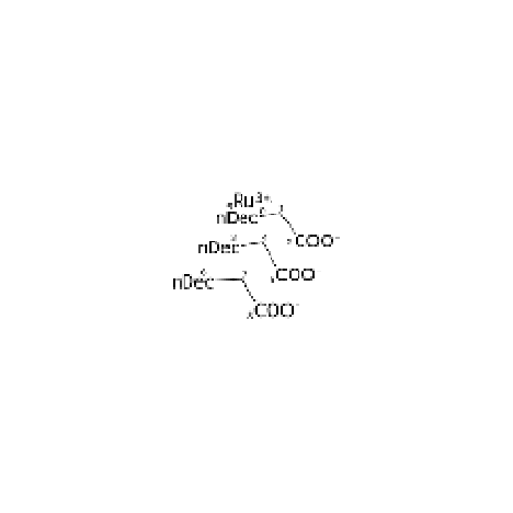 CCCCCCCCCCCC(=O)[O-].CCCCCCCCCCCC(=O)[O-].CCCCCCCCCCCC(=O)[O-].[Ru+3]